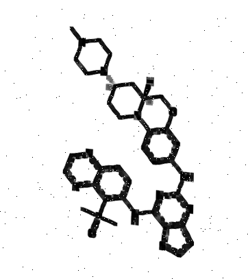 CN1CCN([C@H]2CCN3c4ccc(Nc5nc(Nc6ccc7nccnc7c6P(C)(C)=O)c6sccc6n5)cc4OC[C@H]3C2)CC1